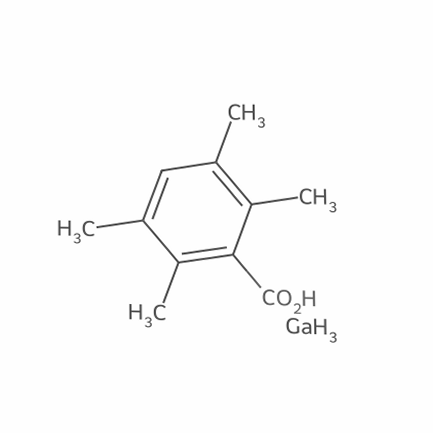 Cc1cc(C)c(C)c(C(=O)O)c1C.[GaH3]